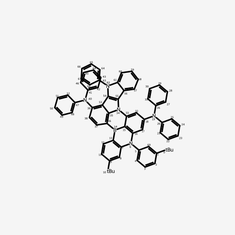 CC(C)(C)c1cccc(N2c3cc(C(C)(C)C)ccc3B3c4c2cc(N(c2ccccc2)c2ccccc2)cc4-n2c4c3ccc(N(c3ccccc3)c3ccccc3)c4c3c2c2ccccc2n3-c2ccccc2)c1